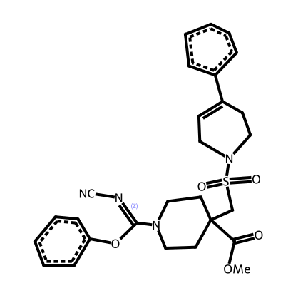 COC(=O)C1(CS(=O)(=O)N2CC=C(c3ccccc3)CC2)CCN(/C(=N/C#N)Oc2ccccc2)CC1